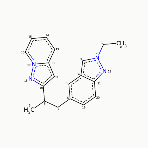 CCn1cc2cc(CC(C)c3cc4ccccn4n3)ccc2n1